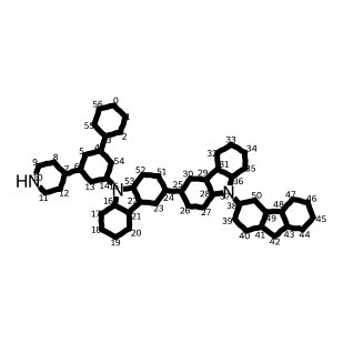 C1CCC(C2CC(C3CCNCC3)CC(N3C4CCCCC4C4CC(C5CCC6C(C5)C5CCCCC5N6C5CCC6CC7CCCCC7C6C5)CCC43)C2)CC1